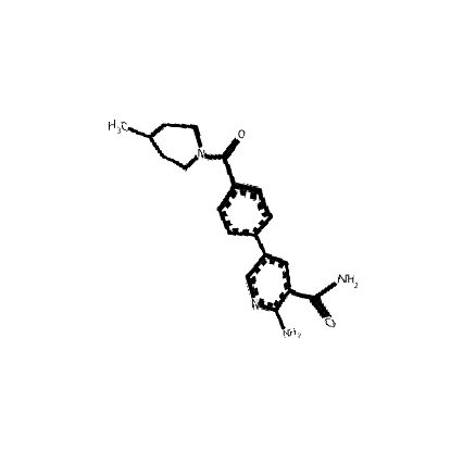 CC1CCN(C(=O)c2ccc(-c3cnc(N)c(C(N)=O)c3)cc2)CC1